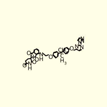 CC(C)(c1ccc(OCCCNc2cccc3c2C(=O)N(C2CCC(=O)NC2=O)C3=O)cc1)c1ccc(OCc2ccnc(-n3ccnn3)n2)cc1